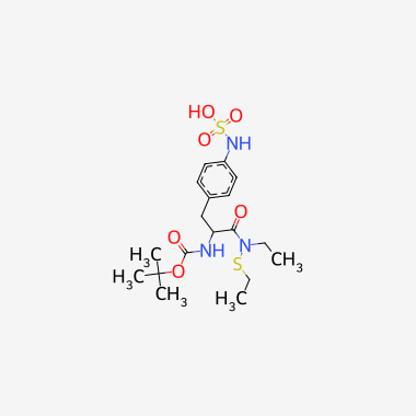 CCSN(CC)C(=O)C(Cc1ccc(NS(=O)(=O)O)cc1)NC(=O)OC(C)(C)C